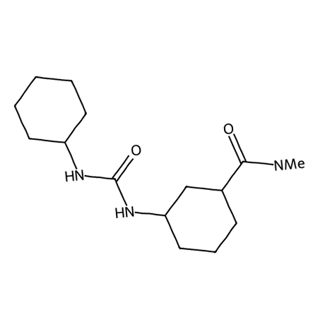 CNC(=O)C1CCCC(NC(=O)NC2CCCCC2)C1